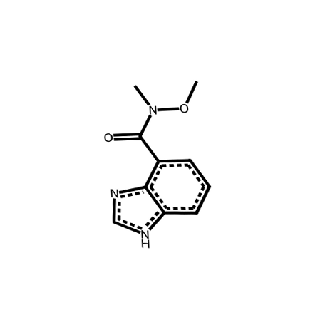 CON(C)C(=O)c1cccc2[nH]cnc12